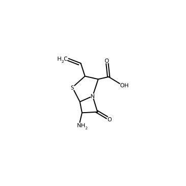 C=CC1SC2C(N)C(=O)N2C1C(=O)O